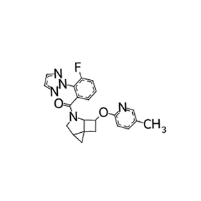 Cc1ccc(OC2CC34CC3CN(C(=O)c3cccc(F)c3-n3nccn3)C24)nc1